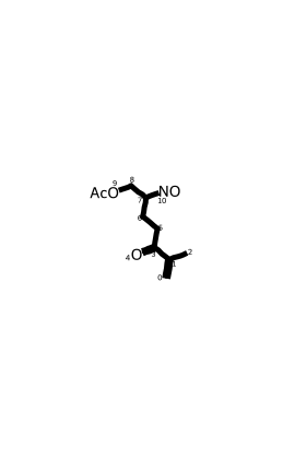 C=C(C)C(=O)CCC(COC(C)=O)N=O